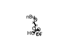 CCCCOCCOP(=O)(O)OF